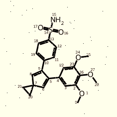 COc1cc(C2=CC3(C=C2c2ccc(S(N)(=O)=O)cc2)CC3)cc(OC)c1OC